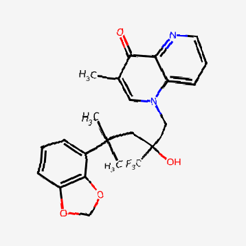 Cc1cn(CC(O)(CC(C)(C)c2cccc3c2OCO3)C(F)(F)F)c2cccnc2c1=O